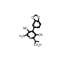 CC(C(=O)O)c1nc(N)c(C#N)c(-c2ccc3c(c2)OCO3)c1C#N